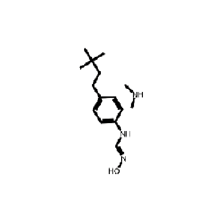 CC(C)(C)CCc1ccc(NC=NO)cc1.CNC